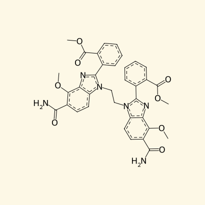 COC(=O)c1ccccc1-c1nc2c(OC)c(C(N)=O)ccc2n1CCn1c(-c2ccccc2C(=O)OC)nc2c(OC)c(C(N)=O)ccc21